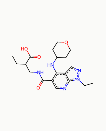 CCC(CNC(=O)c1cnc2c(cnn2CC)c1NC1CCOCC1)C(=O)O